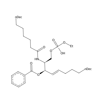 CCCCCCCCCCCCC/C=C/[C@@H](OC(=O)c1ccccc1)[C@H](COP(=O)(O)OCC)NC(=O)CCCCCCCCCCCCCCC